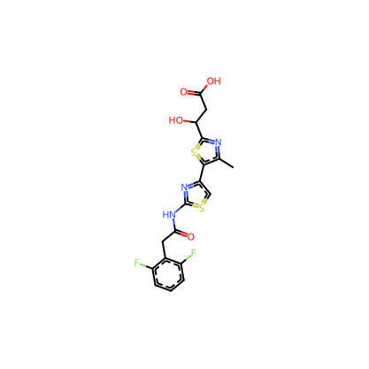 Cc1nc(C(O)CC(=O)O)sc1-c1csc(NC(=O)Cc2c(F)cccc2F)n1